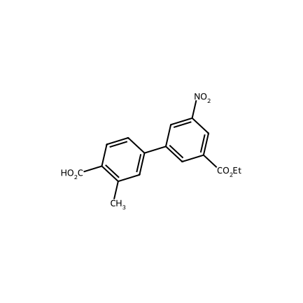 CCOC(=O)c1cc(-c2ccc(C(=O)O)c(C)c2)cc([N+](=O)[O-])c1